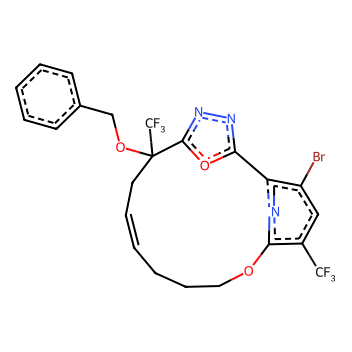 FC(F)(F)c1cc(Br)c2nc1OCCCC=CCC(OCc1ccccc1)(C(F)(F)F)c1nnc-2o1